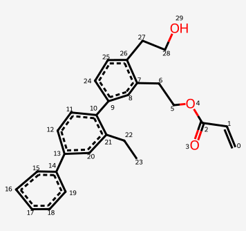 C=CC(=O)OCCc1cc(-c2ccc(-c3ccccc3)cc2CC)ccc1CCO